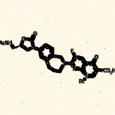 CCn1cc(C(=O)O)c(=O)c2cc(F)c(N3CCCc4cc(N5C[C@H](CNC(C)=O)OC5=O)ccc4C3)nc21